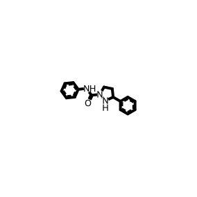 O=C(Nc1ccccc1)N1CCC(c2ccccc2)N1